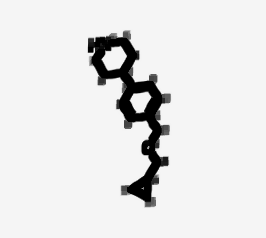 c1cc(C2CCNCC2)ccc1COCC1CC1